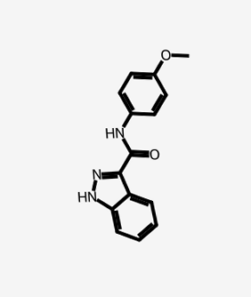 COc1ccc(NC(=O)c2n[nH]c3ccccc23)cc1